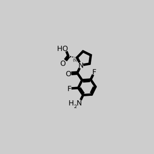 Nc1ccc(F)c(C(=O)N2CCC[C@H]2C(=O)O)c1F